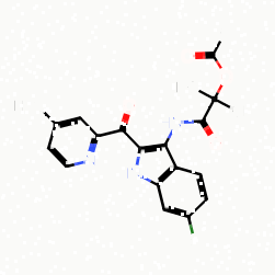 CC(=O)OC(C)(C)C(=O)Nc1c(C(=O)c2cc(C)ccn2)[nH]c2cc(Cl)ccc12